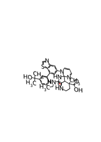 CCNC(=O)NC1(C2CNCCC2(C)C(=O)O)N=CC=CN1c1cc(-c2cc(C(C)(C)O)ccn2)c2scnc2c1